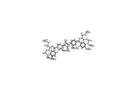 CCCCc1ccc(N(CC(CCC(C)CC(C)(C)C)C(C)CC(C)(C)C)c2ccc(C3=C([O-])/C(=C4C=C/C(=[N+](\CC(CCC(C)CC(C)(C)C)C(C)CC(C)(C)C)c5ccc(CCCC)cc5)C=C\4NC(C)=O)C3=O)c(NC(C)=O)c2)cc1